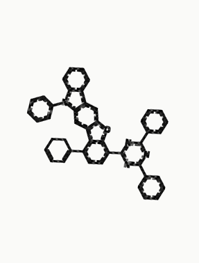 C1=CCCC(c2ccc(-c3nc(-c4ccccc4)nc(-c4ccccc4)n3)c3oc4cc5c6ccccc6n(-c6ccccc6)c5cc4c23)=C1